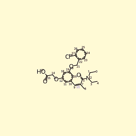 CCN(CC)C(=O)/C(C)=C\c1cc(OCC(=O)O)cc(OCc2ccccc2Cl)c1